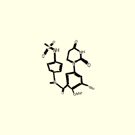 COc1c(C(=O)N(C)c2ccc(NS(C)(=O)=O)cc2)cc(N2CCC(=O)NC2=O)cc1C(C)(C)C